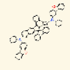 c1ccc(N(c2ccc3cc4c(cc3c2)C2(c3ccccc3-c3ccccc32)c2c-4c3ccccc3c3cc(N(c4ccccc4)c4ccc5oc6ccccc6c5c4)ccc23)c2ccc3oc4ccccc4c3c2)cc1